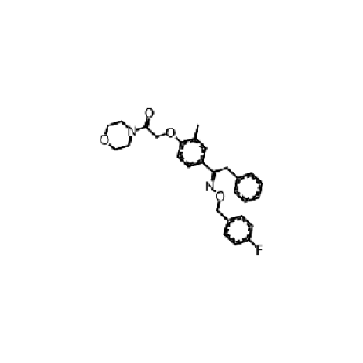 Cc1cc(/C(Cc2ccccc2)=N/OCc2ccc(F)cc2)ccc1OCC(=O)N1CCOCC1